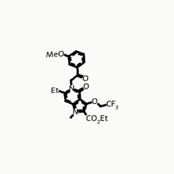 CCOC(=O)c1c(OCC(F)(F)F)c2c(=O)n(CC(=O)c3cccc(OC)c3)c(CC)cc2n1C